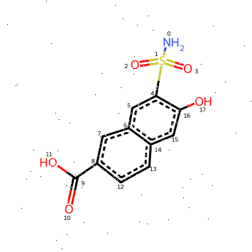 NS(=O)(=O)c1cc2cc(C(=O)O)ccc2cc1O